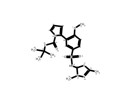 COc1ccc(S(=O)(=O)NC2SC(C)=NN2C)cc1-c1cccn1C(=O)OC(C)(C)C